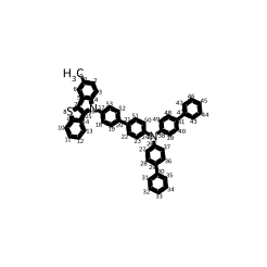 Cc1ccc2c(c1)c1sc3ccccc3c1n2-c1ccc(-c2ccc(N(c3ccc(-c4ccccc4)cc3)c3ccc(-c4ccccc4)cc3)cc2)cc1